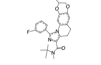 CC1COc2cc3c(cc2O1)-n1c(-c2cccc(F)c2)nc(C(=O)N(C)C(C)(C)C)c1CC3